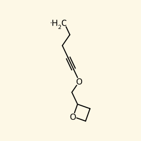 [CH2]CCC#COCC1CCO1